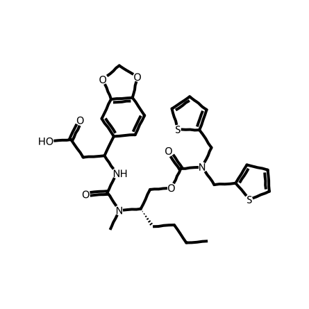 CCCC[C@@H](COC(=O)N(Cc1cccs1)Cc1cccs1)N(C)C(=O)NC(CC(=O)O)c1ccc2c(c1)OCO2